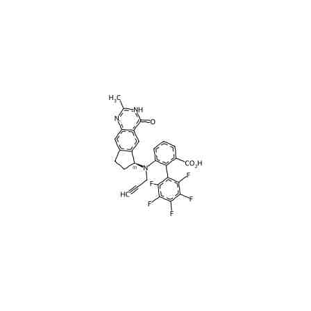 C#CCN(c1cccc(C(=O)O)c1-c1c(F)c(F)c(F)c(F)c1F)[C@H]1CCc2cc3nc(C)[nH]c(=O)c3cc21